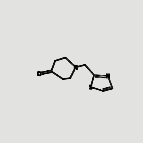 O=C1CCN(Cc2nccs2)CC1